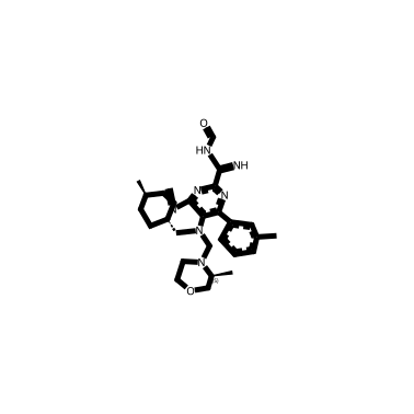 C=Nc1nc(C(=N)NC=O)nc(-c2cccc(C)c2)c1N(CN1CCOC[C@@H]1C)C[C@H]1CC[C@H](C)CC1